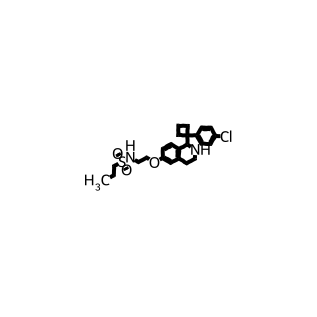 CCCS(=O)(=O)NCCOc1ccc2c(c1)CCNC2C1(c2ccc(Cl)cc2)CCC1